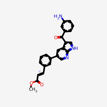 COC(=O)/C=C/c1cccc(-c2cnc3[nH]cc(C(=O)c4cccc(N)c4)c3c2)c1